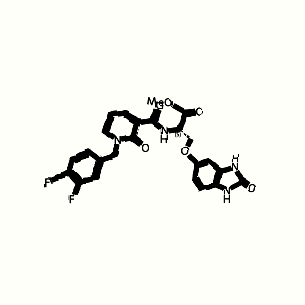 COC(=O)[C@H](COc1ccc2[nH]c(=O)[nH]c2c1)NC(=O)c1cccn(Cc2ccc(F)c(F)c2)c1=O